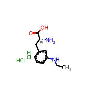 CCNc1cccc(C[C@@H](N)C(=O)O)c1.Cl.Cl